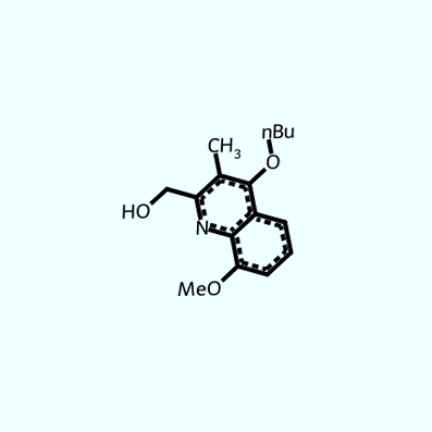 CCCCOc1c(C)c(CO)nc2c(OC)cccc12